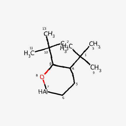 CC(C)(C)C1C[CH2][AlH][O]C1C(C)(C)C